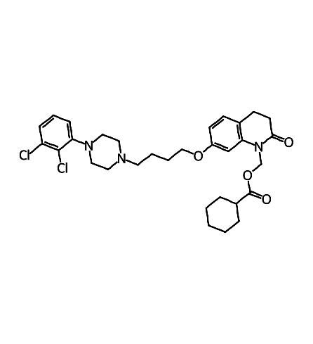 O=C(OCN1C(=O)CCc2ccc(OCCCCN3CCN(c4cccc(Cl)c4Cl)CC3)cc21)C1CCCCC1